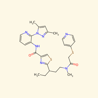 CCC(CCN(C)C(=O)CSc1ccncc1)c1nc(C(=O)Nc2cccnc2-n2nc(C)cc2C)cs1